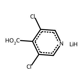 O=C(O)c1c(Cl)cncc1Cl.[LiH]